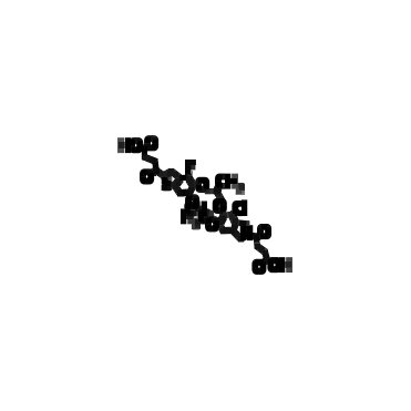 C=C(COc1c(OC)cc2c(c1Cl)CN(C(=O)CCC(=O)O)C2)COc1c(OC)cc2sc(C(=O)CCC(=O)O)cc2c1F